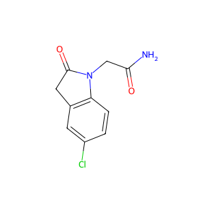 NC(=O)CN1C(=O)Cc2cc(Cl)ccc21